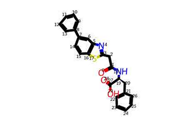 O=C(Cc1nc2cc(-c3ccccc3)ccc2s1)N[C@@H](Cc1ccccc1)C(=O)O